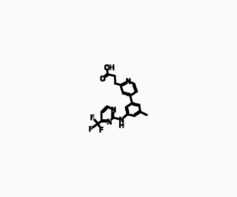 Cc1cc(Nc2nccc(C(F)(F)F)n2)cc(-c2ccnc(CCC(=O)O)c2)c1